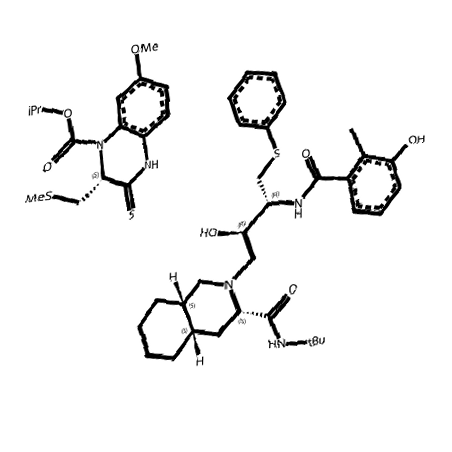 COc1ccc2c(c1)N(C(=O)OC(C)C)[C@@H](CSC)C(=S)N2.Cc1c(O)cccc1C(=O)N[C@@H](CSc1ccccc1)[C@H](O)CN1C[C@H]2CCCC[C@H]2C[C@H]1C(=O)NC(C)(C)C